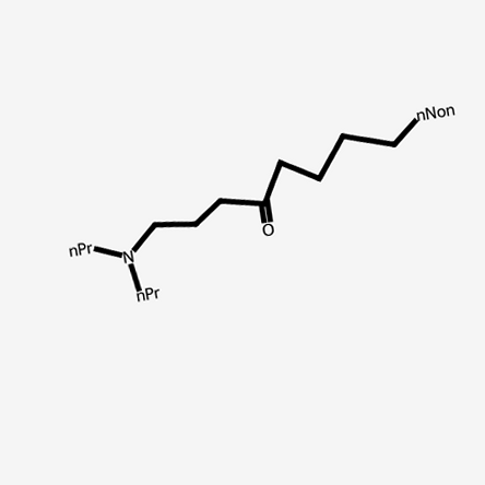 CCCCCCCCCCCCCC(=O)CCCN(CCC)CCC